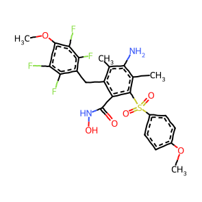 COc1ccc(S(=O)(=O)c2c(C)c(N)c(C)c(Cc3c(F)c(F)c(OC)c(F)c3F)c2C(=O)NO)cc1